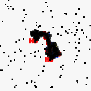 CC/C(=C(/c1ccc(O)cc1)c1ccc(OCCN(C)C(=O)CCCOCCOc2cc(C(C(=O)N3C[C@H](O)C[C@@H]3C3=NC(=O)[C@](C)(c4ccc(-c5scnc5C)cc4)N3)C(C)C)on2)cc1)c1ccccc1